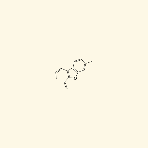 C=Cc1oc2cc(C)ccc2c1/C=C\C